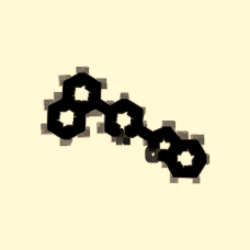 c1ccc2oc(-c3ccc(-c4cccc5ccccc45)cn3)cc2c1